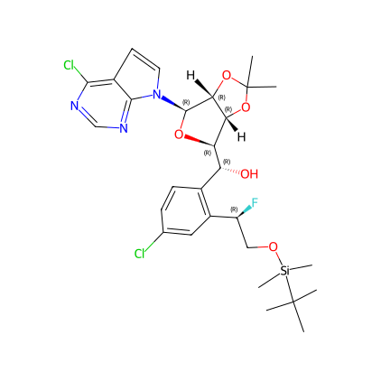 CC1(C)O[C@H]2[C@@H](O1)[C@H](n1ccc3c(Cl)ncnc31)O[C@@H]2[C@H](O)c1ccc(Cl)cc1[C@@H](F)CO[Si](C)(C)C(C)(C)C